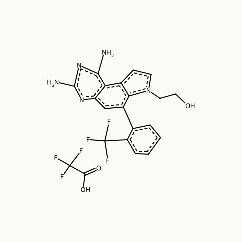 Nc1nc(N)c2c(cc(-c3ccccc3C(F)(F)F)c3c2ccn3CCO)n1.O=C(O)C(F)(F)F